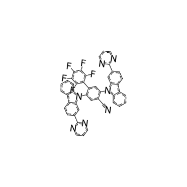 N#Cc1cc(-n2c3ccccc3c3ccc(-c4ncccn4)cc32)c(-c2c(F)c(F)c(F)c(F)c2F)cc1-n1c2ccccc2c2ccc(-c3ncccn3)cc21